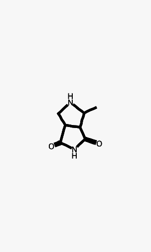 CC1NCC2C(=O)NC(=O)C12